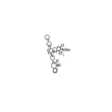 CNc1c(Cl)cc(CC(NC(=O)N2CCC(N3CCc4ccccc4NC3=O)CC2)C(=O)N2CCC(N3CCCCC3)CC2)cc1C(F)(F)F